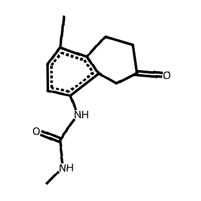 CNC(=O)Nc1ccc(C)c2c1CC(=O)CC2